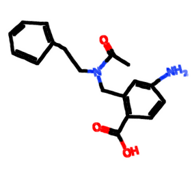 CC(=O)N(CCc1ccccc1)Cc1cc(N)ccc1C(=O)O